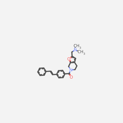 CN(C)Cc1cc2c(o1)CN(C(=O)c1ccc(C=Cc3ccccc3)cc1)CC2